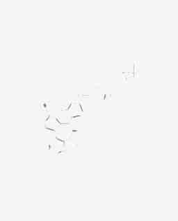 CCN1C(=O)N(c2c(F)cc(NCCN(CCO[Si](C)(C)C(C)(C)C)C(=O)O)cc2F)c2cc(C#N)ccc2-c2cc(Cl)cnc21